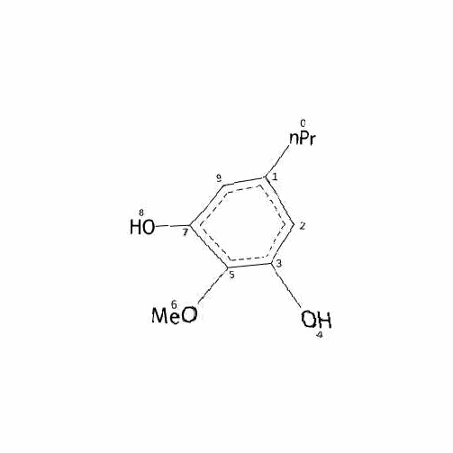 CCCc1cc(O)c(OC)c(O)c1